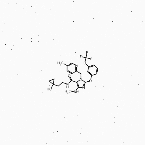 CNc1nc(Oc2cccc(OC(F)(F)F)c2)n(Cc2ccc(C)cn2)c1C(=O)NCCC1(O)CC1